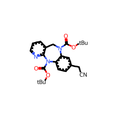 CC(C)(C)OC(=O)N1Cc2cccnc2N(C(=O)OC(C)(C)C)c2ccc(CC#N)cc21